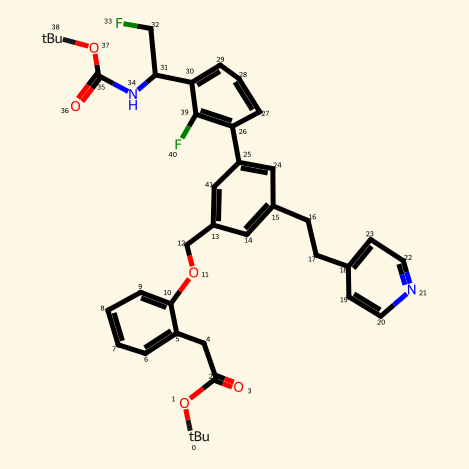 CC(C)(C)OC(=O)Cc1ccccc1OCc1cc(CCc2ccncc2)cc(-c2cccc(C(CF)NC(=O)OC(C)(C)C)c2F)c1